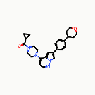 O=C(C1CC1)N1CCN(c2ccnn3cc(-c4ccc(C5CCOCC5)cc4)cc23)CC1